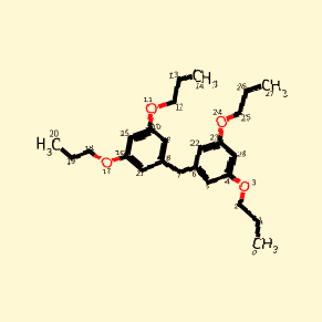 CCCOc1cc([CH]c2cc(OCCC)cc(OCCC)c2)cc(OCCC)c1